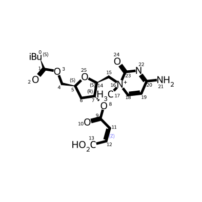 CC[C@H](C)C(=O)OC[C@@H]1C[C@@H](OC(=O)/C=C\C(=O)O)[C@H](C[N+]2(C)C=CC(N)=NC2=O)O1